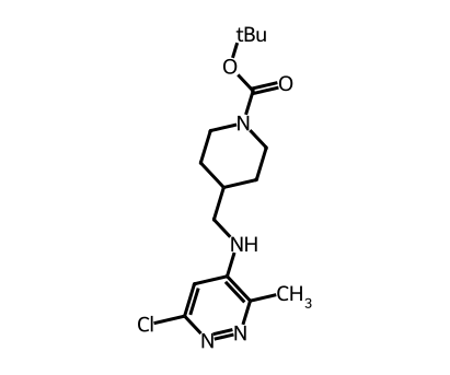 Cc1nnc(Cl)cc1NCC1CCN(C(=O)OC(C)(C)C)CC1